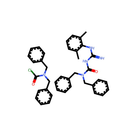 Cc1cccc(C)c1NC(=N)NC(=O)N(Cc1ccccc1)Cc1ccccc1.O=C(Cl)N(Cc1ccccc1)Cc1ccccc1